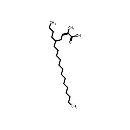 CCCCCCCCCCCCCCC(CC=C(C)C(=O)O)CCCC